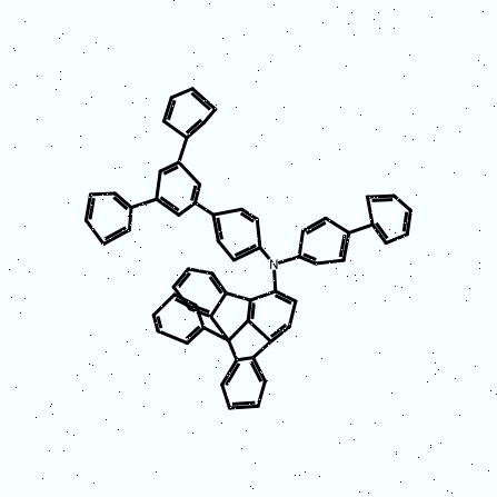 c1ccc(-c2ccc(N(c3ccc(-c4cc(-c5ccccc5)cc(-c5ccccc5)c4)cc3)c3ccc4c5c3-c3ccccc3C5(c3ccccc3)c3ccccc3-4)cc2)cc1